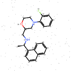 C[C@@H](NCC1CN(c2ccccc2F)CCO1)c1cccc2ccccc12